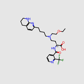 CCOCCN(CCCCc1ccc2c(n1)NCCC2)CC[C@H](NC(=O)c1cccnc1C(F)(F)F)C(=O)O